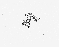 CCCC(C)OC(=O)OC(C)CN[C@@H](Cc1ccc(OC(=O)C(C)(C)C)c(OC(=O)C(C)(C)C)c1)C(=O)O